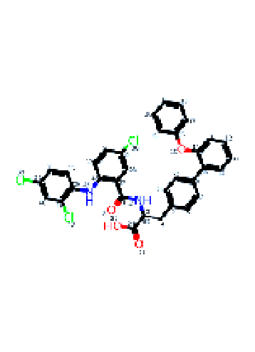 O=C(N[C@@H](Cc1ccc(-c2ccccc2Oc2ccccc2)cc1)C(=O)O)c1cc(Cl)ccc1Nc1ccc(Cl)cc1Cl